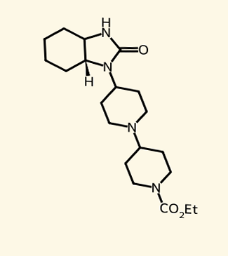 CCOC(=O)N1CCC(N2CCC(N3C(=O)NC4CCCC[C@H]43)CC2)CC1